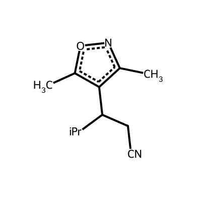 Cc1noc(C)c1C(CC#N)C(C)C